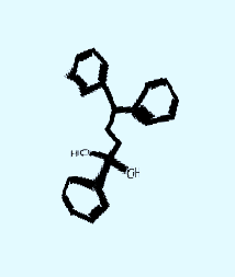 OC(O)(CCC(c1ccccc1)c1ccccc1)c1ccccc1